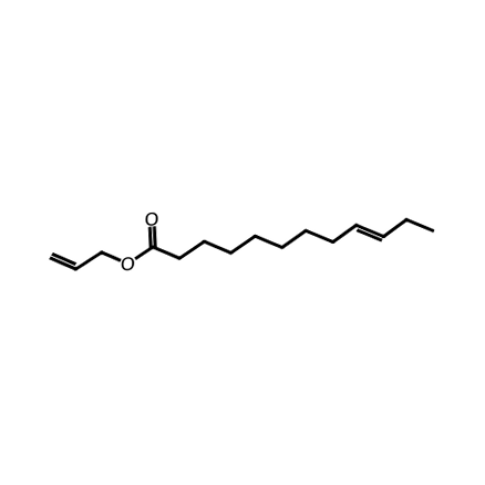 C=CCOC(=O)CCCCCCC/C=C/CC